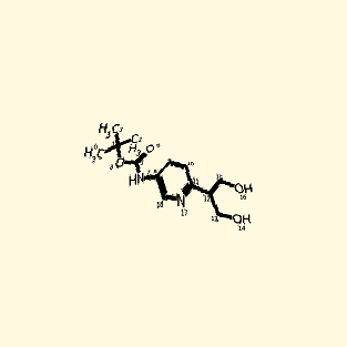 CC(C)(C)OC(=O)Nc1ccc(C(CO)CO)nc1